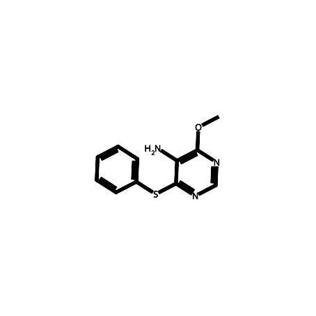 COc1ncnc(Sc2ccccc2)c1N